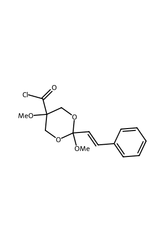 COC1(C=Cc2ccccc2)OCC(OC)(C(=O)Cl)CO1